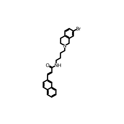 O=C(C=Cc1ccc2ccccc2c1)NCCCCN1CCc2ccc(Br)cc2C1